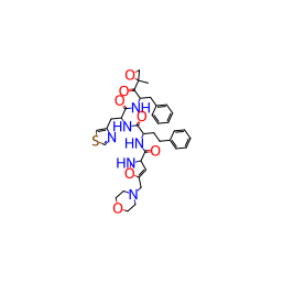 CC1(C(=O)C(Cc2ccccc2)NC(=O)C(Cc2cscn2)NC(=O)C(CCc2ccccc2)NC(=O)C2C=C(CN3CCOCC3)ON2)CO1